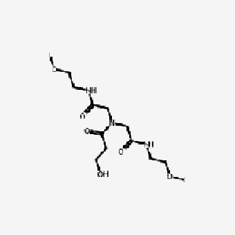 O=C(CN(CC(=O)NCCOI)C(=O)CCO)NCCOI